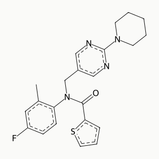 Cc1cc(F)ccc1N(Cc1cnc(N2CCCCC2)nc1)C(=O)c1cccs1